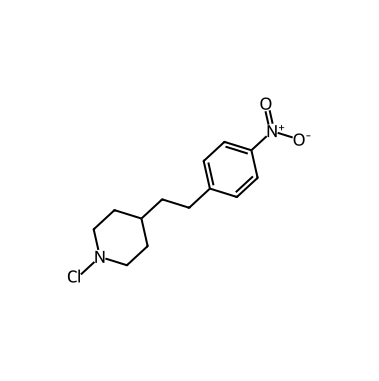 O=[N+]([O-])c1ccc(CCC2CCN(Cl)CC2)cc1